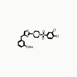 COc1cccc(Cc2csc(N3CCN(S(=O)(=O)c4ccc(Cl)c(Cl)c4)CC3)n2)c1